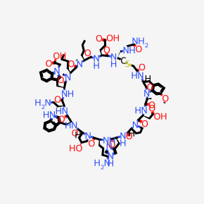 CCCC[C@H]1C(=O)N(C)[C@@H](CCCC)C(=O)N[C@@H](CCC(=O)O)C(=O)N[C@H](CNCC(N)=O)CSCC(=O)N[C@H]2Cc3ccc(OC)cc3N(C2=O)[C@@H](C)C(=O)N[C@@H](CC(=O)O)C(=O)N2CCC[C@H]2C(=O)N[C@@H](Cc2c[nH]cn2)C(=O)N[C@@H](CCCCN)C(=O)N2C[C@H](O)C[C@H]2C(=O)N[C@@H](Cc2c[nH]c3ccccc23)C(=O)N[C@@H](CCN)C(=O)N[C@@H](Cc2cn(CC(=O)O)c3ccccc23)C(=O)N1C